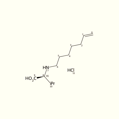 C=CCCCCCN[C@H](C(=O)O)C(C)C.Cl